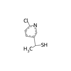 CC(S)c1ccc(Cl)nc1